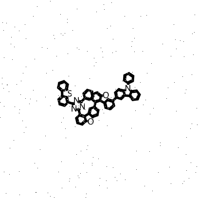 c1ccc(-c2nc(-c3cccc4c3sc3ccccc34)nc(-c3cccc4oc5ccc(-c6cccc7oc8c(-c9ccc%10c(c9)c9ccccc9n%10-c9ccccc9)cccc8c67)cc5c34)n2)cc1